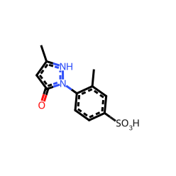 Cc1cc(=O)n(-c2ccc(S(=O)(=O)O)cc2C)[nH]1